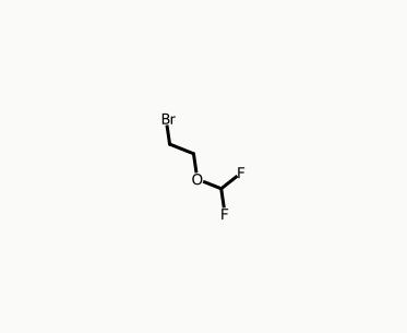 FC(F)OCCBr